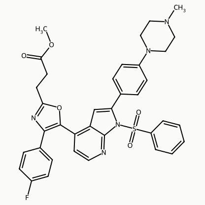 COC(=O)CCc1nc(-c2ccc(F)cc2)c(-c2ccnc3c2cc(-c2ccc(N4CCN(C)CC4)cc2)n3S(=O)(=O)c2ccccc2)o1